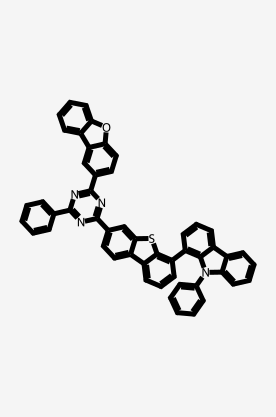 c1ccc(-c2nc(-c3ccc4c(c3)sc3c(-c5cccc6c7ccccc7n(-c7ccccc7)c56)cccc34)nc(-c3ccc4oc5ccccc5c4c3)n2)cc1